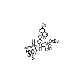 C=C/C=C(/NC(=O)[C@@H]1C[C@@H](Oc2nccc3cc(CC)ccc23)CN1C(=O)[C@@H](NC(=O)OC(C)(C)C)C(C)(C)C)C(=O)NS(=O)(=O)C1CC1